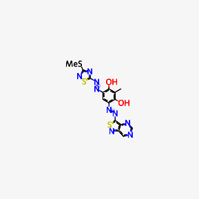 CSc1nsc(/N=N/c2cc(/N=N/c3snc4cncnc34)c(O)c(C)c2O)n1